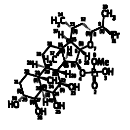 COP(=O)(O)O[C@@H]1[C@H]2O[C@@H]([C@@H](C)C(C)C)C[C@@H](C)[C@@H]2[C@@]2(C)CC[C@H]3[C@@H]([C@@H](O)[C@@H](O)[C@H]4[C@@H](O)[C@H](O)CC[C@@]43C)[C@H]12